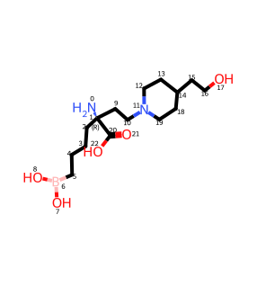 N[C@](CCCCB(O)O)(CCN1CCC(CCO)CC1)C(=O)O